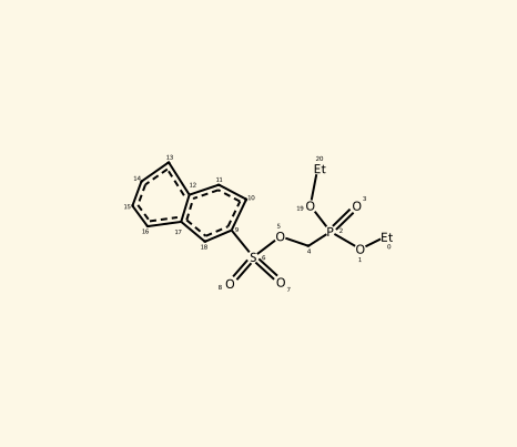 CCOP(=O)(COS(=O)(=O)c1ccc2ccccc2c1)OCC